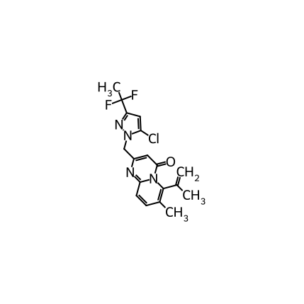 C=C(C)c1c(C)ccc2nc(Cn3nc(C(C)(F)F)cc3Cl)cc(=O)n12